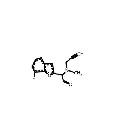 C#CCN(C)C(C=O)c1cc2cccc(F)c2o1